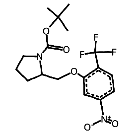 CC(C)(C)OC(=O)N1CCCC1COc1cc([N+](=O)[O-])ccc1C(F)(F)F